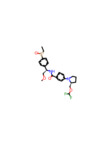 CC[S+]([O-])c1ccc([C@H](COC)NC(=O)c2ccc(N3CCC[C@H]3COC(F)F)cc2)cc1